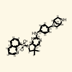 CC1(C)CN(S(=O)(=O)c2cccc3cccnc23)c2nc(Nc3ccc(N4CC5CC4CN5)cc3)ncc21